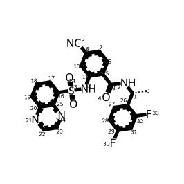 C[C@@H](NC(=O)c1ccc(C#N)cc1NS(=O)(=O)c1cccc2nccnc12)c1ccc(F)cc1F